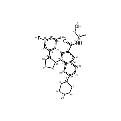 C[C@H](CO)NC(=O)c1cc(C2CCCN2c2cc(F)cc(F)c2)c2nc(N3CCOCC3)cnc2c1